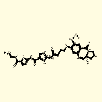 CCOC(=O)c1csc(NC(=O)c2csc(NC(=O)CCCOc3cc4c(cc3OC)C(=O)N3CCC[C@H]3C=N4)n2)n1